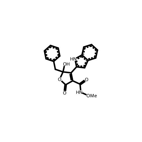 CONC(=O)C1=C(c2cc3ccccc3[nH]2)C(O)(Cc2ccccc2)OC1=O